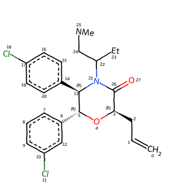 C=CC[C@H]1O[C@H](c2cccc(Cl)c2)[C@@H](c2ccc(Cl)cc2)N(C(CC)CNC)C1=O